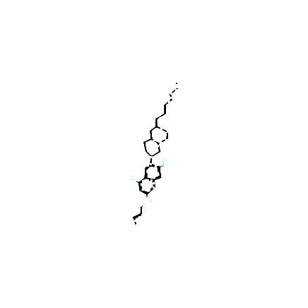 C/C=C/COc1cc(F)c2cc(C3CCC4CC(CCCCCCC)CCC4C3)c(F)cc2c1